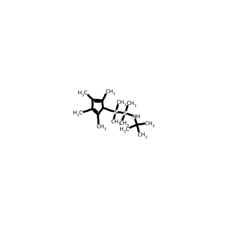 CC1=C(C)C(S(C)(C)S(C)(C)NC(C)(C)C)C(C)=C1C